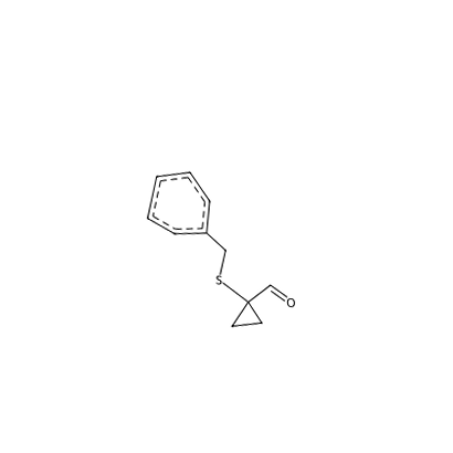 O=CC1(SCc2ccccc2)CC1